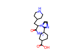 NC(=O)C(CC1CCNCC1)n1ccnc1C1CCC(C(=O)O)CC1